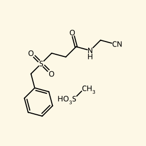 CS(=O)(=O)O.N#CCNC(=O)CCS(=O)(=O)Cc1ccccc1